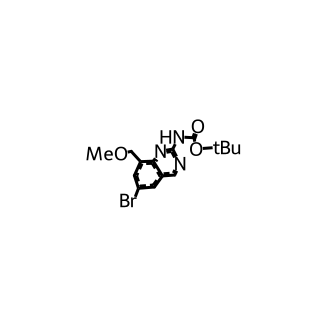 COCc1cc(Br)cc2cnc(NC(=O)OC(C)(C)C)nc12